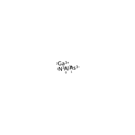 [Al+3].[As-3].[Ga+3].[N-3]